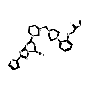 COC(=O)COc1ccccc1N1CCN(C[C@@H]2CCCN(c3nc(N)n4nc(-c5ccco5)nc4n3)C2)CC1